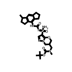 CC1CCc2c1cc1c(c2NC(=O)N=S(N)(=O)c2cnn3c2OCC(CN(C)C(=O)OC(C)(C)C)C3)CCC1